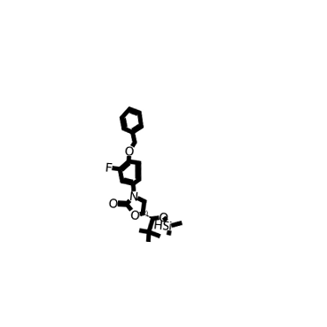 C[SiH](C)OC([C@H]1CN(c2ccc(OCc3ccccc3)c(F)c2)C(=O)O1)C(C)(C)C